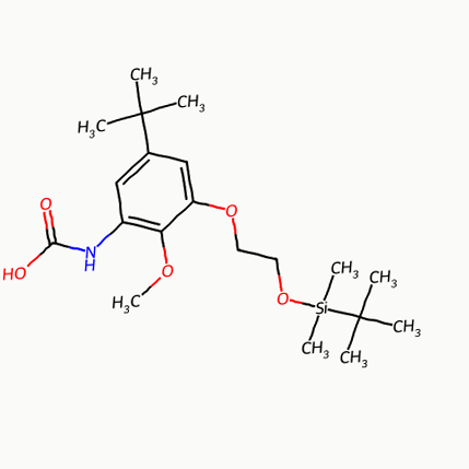 COc1c(NC(=O)O)cc(C(C)(C)C)cc1OCCO[Si](C)(C)C(C)(C)C